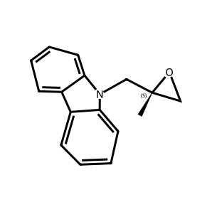 C[C@]1(Cn2c3ccccc3c3ccccc32)CO1